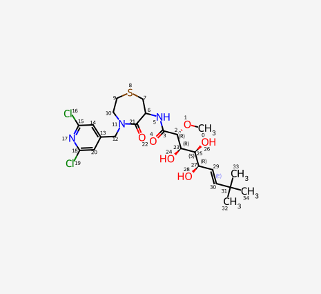 CO[C@@H](C(=O)NC1CSCCN(Cc2cc(Cl)nc(Cl)c2)C1=O)[C@H](O)[C@@H](O)[C@H](O)/C=C/C(C)(C)C